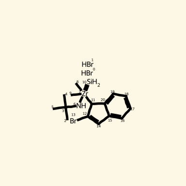 Br.Br.CC(C)(C)[NH][Zr]([CH3])([CH3])(=[SiH2])[CH]1C(Br)=Cc2ccccc21